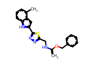 C=C(NCc1nnc(-c2cc3c(C)cccc3[nH]2)s1)OCc1ccccc1